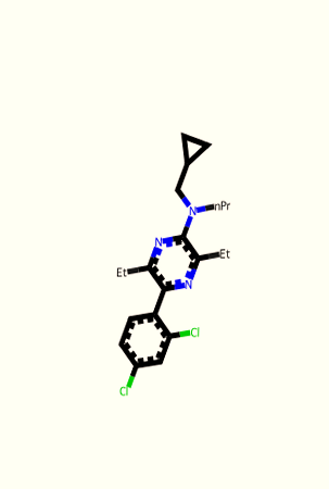 CCCN(CC1CC1)c1nc(CC)c(-c2ccc(Cl)cc2Cl)nc1CC